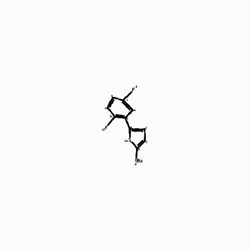 CC(C)(C)c1ccc(-c2cc(F)ccc2F)s1